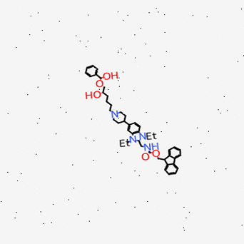 CCN1c2ccc(C3CCN(CCCC[C@H](O)COC(O)c4ccccc4)CC3)cc2N(CC)C1CNC(=O)OCC1c2ccccc2-c2ccccc21